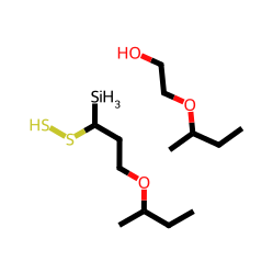 CCC(C)OCCC([SiH3])SS.CCC(C)OCCO